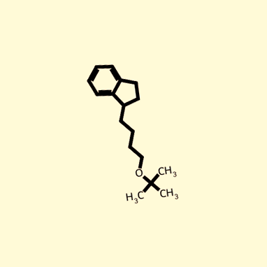 CC(C)(C)OCCCCC1CCc2ccccc21